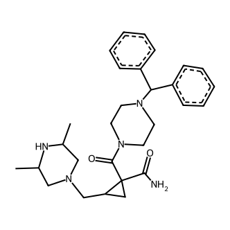 CC1CN(CC2CC2(C(N)=O)C(=O)N2CCN(C(c3ccccc3)c3ccccc3)CC2)CC(C)N1